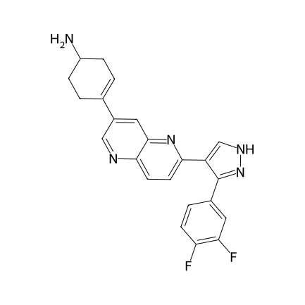 NC1CC=C(c2cnc3ccc(-c4c[nH]nc4-c4ccc(F)c(F)c4)nc3c2)CC1